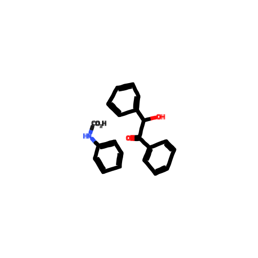 O=C(O)Nc1ccccc1.O=C(c1ccccc1)C(O)c1ccccc1